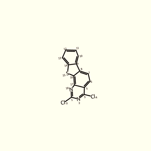 Clc1nc(Cl)c2ccc3c4ccccc4sc3c2n1